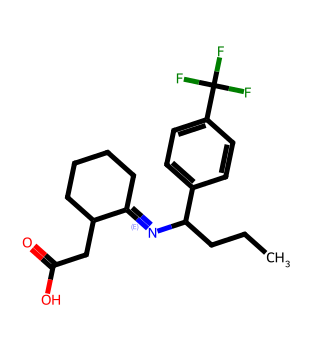 CCCC(/N=C1\CCCCC1CC(=O)O)c1ccc(C(F)(F)F)cc1